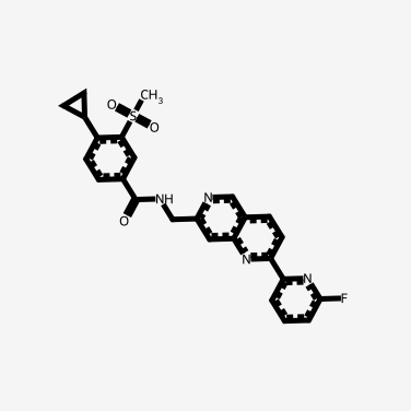 CS(=O)(=O)c1cc(C(=O)NCc2cc3nc(-c4cccc(F)n4)ccc3cn2)ccc1C1CC1